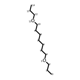 CCCOCCCCCCCOCCC